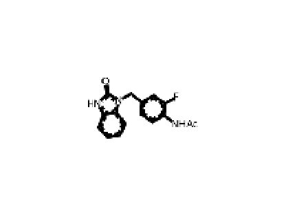 CC(=O)Nc1ccc(Cn2c(=O)[nH]c3ccccc32)cc1F